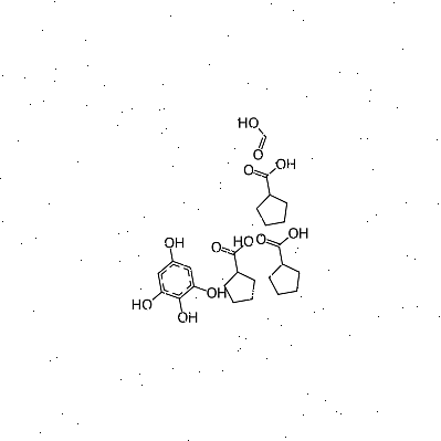 O=C(O)C1CCCC1.O=C(O)C1CCCC1.O=C(O)C1CCCC1.O=CO.Oc1cc(O)c(O)c(O)c1